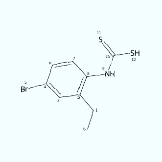 CCc1cc(Br)ccc1NC(=S)S